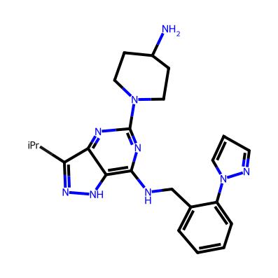 CC(C)c1n[nH]c2c(NCc3ccccc3-n3cccn3)nc(N3CCC(N)CC3)nc12